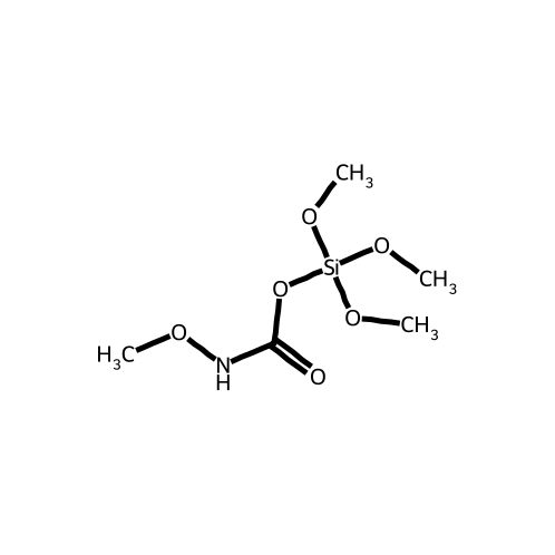 CONC(=O)O[Si](OC)(OC)OC